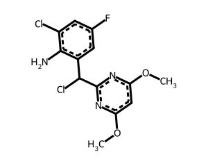 COc1cc(OC)nc(C(Cl)c2cc(F)cc(Cl)c2N)n1